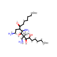 CCCCCCCCCCCCCCCC(=O)C(CCN)C(N)C(=O)C(CN)(C(=O)C(O)CCCCCCCCCCCCCC)S(=O)(=O)O